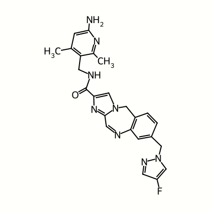 Cc1cc(N)nc(C)c1CNC(=O)c1cn2c(n1)C=Nc1cc(Cn3cc(F)cn3)ccc1C2